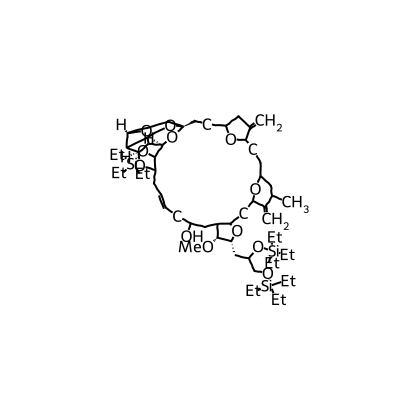 C=C1CC2CC[C@@]34C[C@H]5OC6[C@@H](OC(C/C=C/CC(O)CC7C(CC8OC(CCC1O2)CC(C)C8=C)O[C@H](CC(CO[Si](CC)(CC)CC)O[Si](CC)(CC)CC)[C@@H]7OC)C(O[Si](CC)(CC)CC)[C@@H]6O3)C5O4